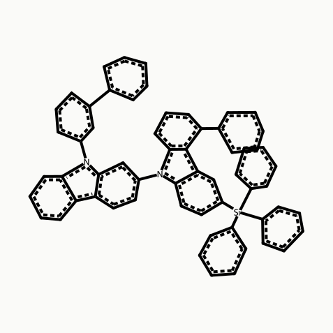 c1ccc(-c2cccc(-n3c4ccccc4c4ccc(-n5c6ccc([Si](c7ccccc7)(c7ccccc7)c7ccccc7)cc6c6c(-c7ccccc7)cccc65)cc43)c2)cc1